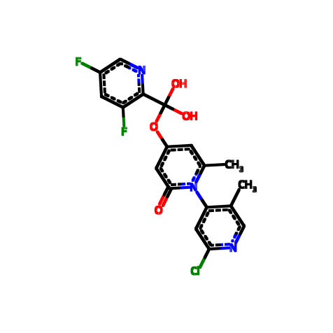 Cc1cnc(Cl)cc1-n1c(C)cc(OC(O)(O)c2ncc(F)cc2F)cc1=O